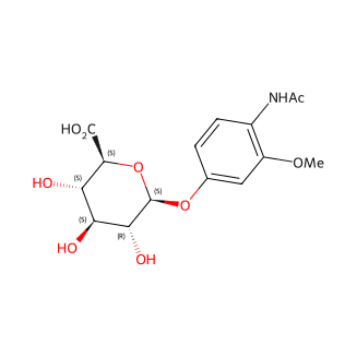 COc1cc(O[C@@H]2O[C@H](C(=O)O)[C@@H](O)[C@H](O)[C@H]2O)ccc1NC(C)=O